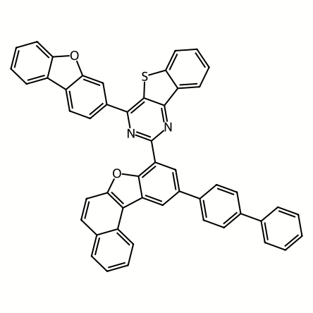 c1ccc(-c2ccc(-c3cc(-c4nc(-c5ccc6c(c5)oc5ccccc56)c5sc6ccccc6c5n4)c4oc5ccc6ccccc6c5c4c3)cc2)cc1